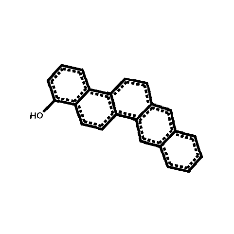 Oc1cccc2c1ccc1c3cc4ccccc4cc3ccc21